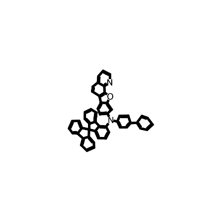 c1ccc(-c2ccc(N(c3ccc4c(c3)oc3c4ccc4cccnc43)c3cccc4c3-c3ccccc3C43c4ccccc4-c4ccccc43)cc2)cc1